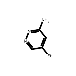 CCc1cnnc(N)c1